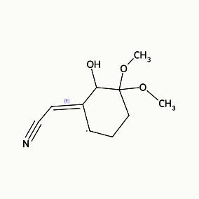 COC1(OC)CC[CH]/C(=C\C#N)C1O